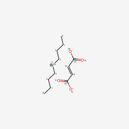 CCC[CH2][Bi+2][CH2]CCC.O=C([O-])C=CC(=O)[O-]